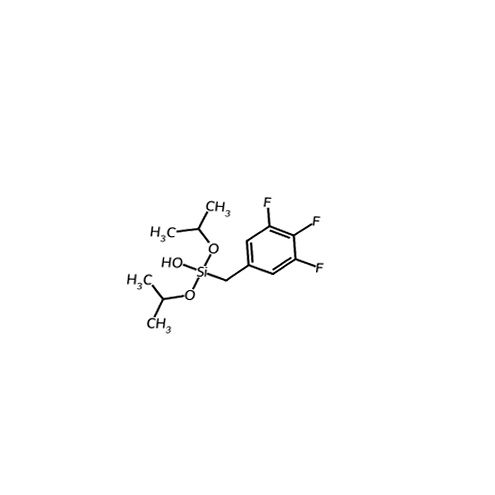 CC(C)O[Si](O)(Cc1cc(F)c(F)c(F)c1)OC(C)C